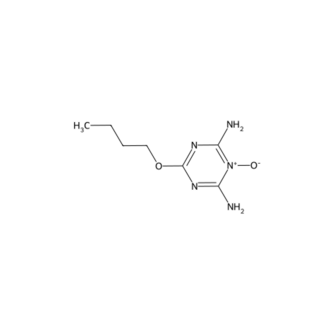 CCCCOc1nc(N)[n+]([O-])c(N)n1